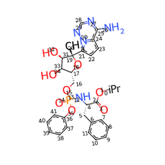 CC(C)OC(=O)[C@H](Cc1ccccc1)NP(=O)(OC[C@H]1O[C@@](C)(c2ccc3c(N)ncnn23)[C@H](O)[C@@H]1O)Oc1ccccc1